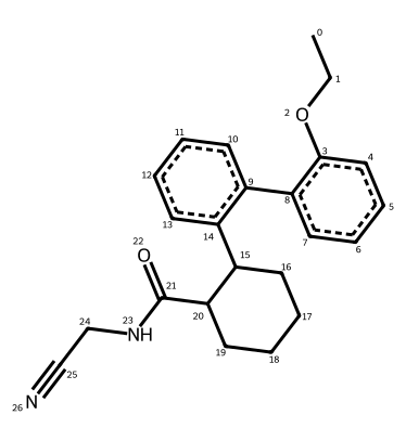 CCOc1ccccc1-c1ccccc1C1CCCCC1C(=O)NCC#N